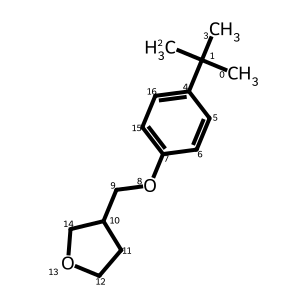 CC(C)(C)c1ccc(OCC2CCOC2)cc1